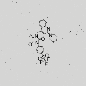 O=C1N(c2ccc(S(=O)(=O)C(F)(F)F)cc2)C(=O)C2(CC2)N1Cc1cc(N2CCCCC2)nc2ccccc12